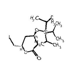 CC(C)[Si](O[C@H]1CC(=O)O[C@H](CI)C1)(C(C)C)C(C)C